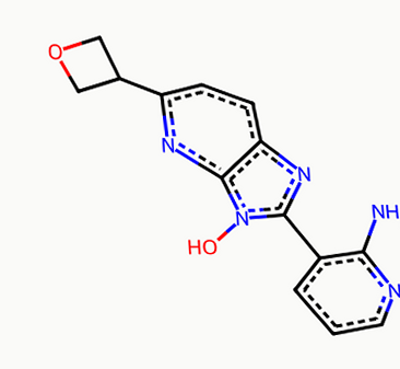 Nc1ncccc1-c1nc2ccc(C3COC3)nc2n1O